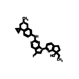 CCC1(O)CCc2ccc(-n3cc(F)c4cnc(Nc5ccc6c(c5)CN(C)CC65CC5)nc43)nc21